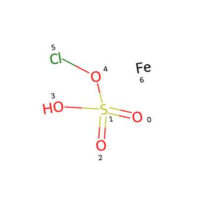 O=S(=O)(O)OCl.[Fe]